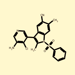 Cc1cc2c(cc1C#N)c(-c1cncc(N)c1Cl)c(C)n2S(=O)(=O)c1ccccc1